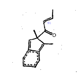 C/C=C/C(=O)C1(C)C=c2ccccc2=C1C